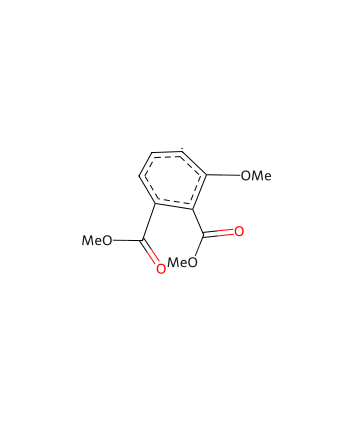 COC(=O)c1cc[c]c(OC)c1C(=O)OC